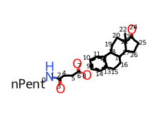 CCCCCNC(=O)CCC(=O)Oc1ccc2c(c1)CCC1C2CCC2(C)C(=O)CCC12